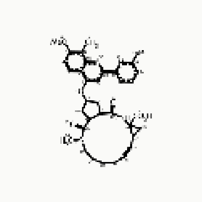 COc1ccc2c(OC3CC4C(=O)NC5(C(=O)O)CC5/C=C\CCCCN(C)C(=O)C4C3)cc(-c3cccc(C(C)C)n3)nc2c1C